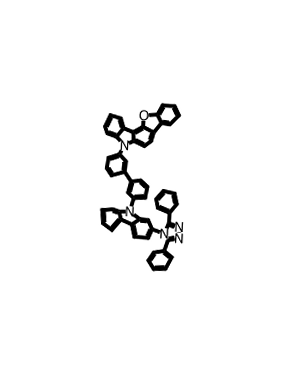 c1ccc(-c2nnc(-c3ccccc3)n2-c2ccc3c4ccccc4n(-c4cccc(-c5cccc(-n6c7ccccc7c7c8oc9ccccc9c8ccc76)c5)c4)c3c2)cc1